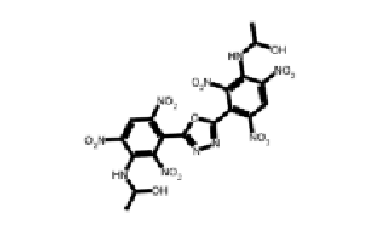 CC(O)Nc1c([N+](=O)[O-])cc([N+](=O)[O-])c(-c2nnc(-c3c([N+](=O)[O-])cc([N+](=O)[O-])c(NC(C)O)c3[N+](=O)[O-])o2)c1[N+](=O)[O-]